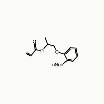 C=CC(=O)OC(C)COc1ccccc1CCCCCCCCC